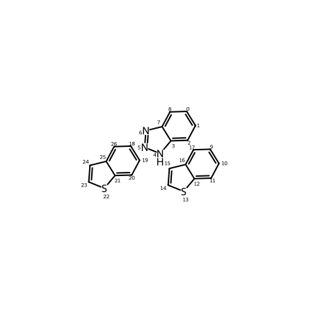 c1ccc2[nH]nnc2c1.c1ccc2sccc2c1.c1ccc2sccc2c1